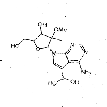 COC1(C)C(O)C(CO)O[C@H]1n1cc(B(O)O)c2c(N)ncnc21